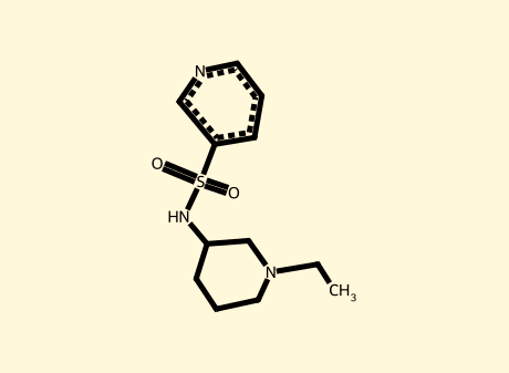 CCN1CCCC(NS(=O)(=O)c2cccnc2)C1